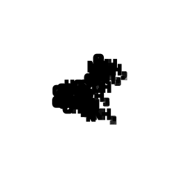 CO[C@@H]1[C@H](OP(=O)(O)OC[C@H]2O[C@@H](n3cnc4c3N(C)C(N)NC4=O)[C@H](O)[C@@H]2O)[C@@H](COP(=O)(O)OP(=O)(O)OP(=O)(O)O)O[C@H]1n1cnc2c(N)ncnc21